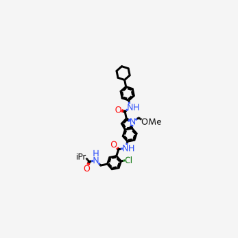 COCn1c(C(=O)Nc2ccc(C3CCCCC3)cc2)cc2cc(NC(=O)c3cc(CNC(=O)C(C)C)ccc3Cl)ccc21